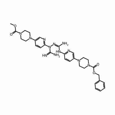 COC(=O)N1CCN(c2ccc(N(N=C(N)Nc3ccc(N4CCN(C(=O)OCc5ccccc5)CC4)cn3)C(=N)N)nc2)CC1